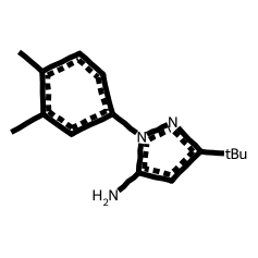 Cc1ccc(-n2nc(C(C)(C)C)cc2N)cc1C